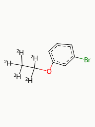 [2H]C([2H])([2H])C([2H])([2H])Oc1cccc(Br)c1